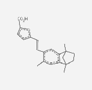 Cc1cc2c(cc1/C=C/c1ccc(C(=O)O)s1)C1(C)CCC2(C)C1